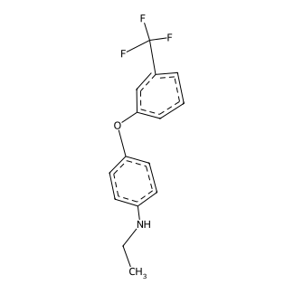 CCNc1ccc(Oc2cccc(C(F)(F)F)c2)cc1